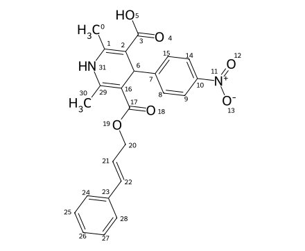 CC1=C(C(=O)O)C(c2ccc([N+](=O)[O-])cc2)C(C(=O)OCC=Cc2ccccc2)=C(C)N1